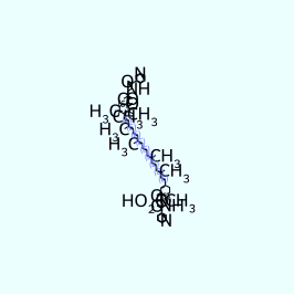 CC1=C(/C=C/C(C)=C/C=C/C(C)=C/C=C/C=C(C)/C=C/C=C(C)/C=C/C2=CC(=O)[C@H]([C@](C)(NC(=O)c3cccnc3)C(=O)O)CC2)C(C)(C)C[C@H](OC(=O)CNC(=O)c2cccnc2)C1=O